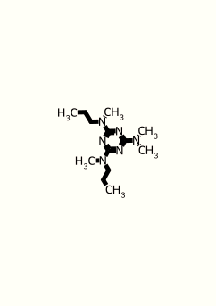 CCCN(C)c1nc(N(C)C)nc(N(C)CCC)n1